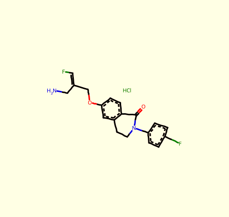 Cl.NC/C(=C\F)COc1ccc2c(c1)CCN(c1ccc(F)cc1)C2=O